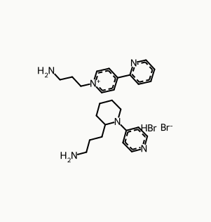 Br.NCCCC1CCCCN1c1ccncc1.NCCC[n+]1ccc(-c2ccccn2)cc1.[Br-]